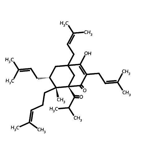 CC(C)=CCC[C@]1(C)[C@H](CC=C(C)C)CC2(CC=C(C)C)C[C@]1(C(=O)C(C)C)C(=O)C(CC=C(C)C)=C2O